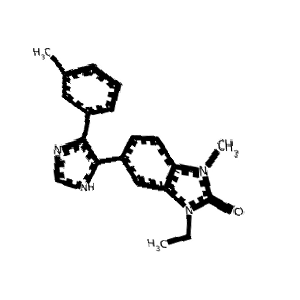 CCn1c(=O)n(C)c2ccc(-c3[nH]cnc3-c3cccc(C)c3)cc21